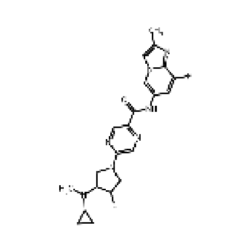 Cc1cn2cc(NC(=O)c3cnc(N4CC(F)C(N(C)C5CC5)C4)cn3)cc(F)c2n1